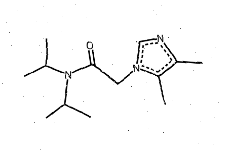 Cc1n[c]n(CC(=O)N(C(C)C)C(C)C)c1C